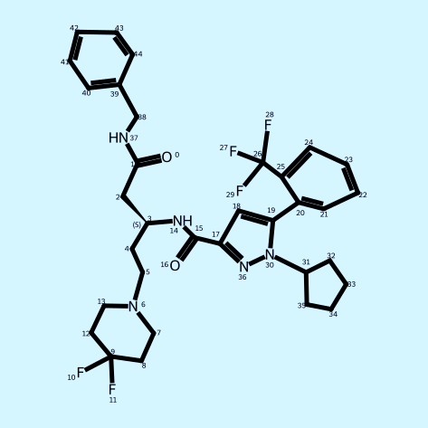 O=C(C[C@H](CCN1CCC(F)(F)CC1)NC(=O)c1cc(-c2ccccc2C(F)(F)F)n(C2CCCC2)n1)NCc1ccccc1